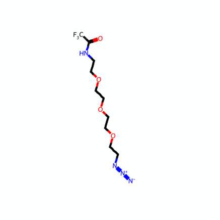 [N-]=[N+]=NCCOCCOCCOCCNC(=O)C(F)(F)F